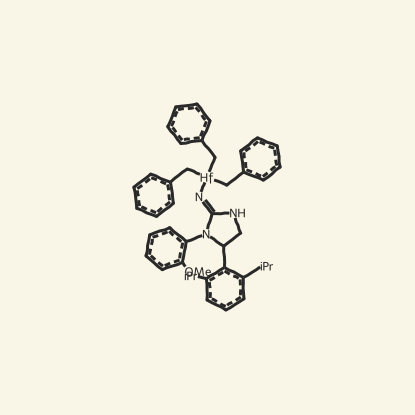 COc1ccccc1N1C(=[N][Hf]([CH2]c2ccccc2)([CH2]c2ccccc2)[CH2]c2ccccc2)NCC1c1c(C(C)C)cccc1C(C)C